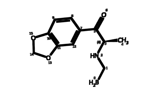 BCN[C@H](C)C(=O)c1ccc2c(c1)OCO2